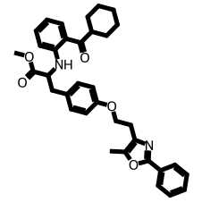 COC(=O)C(Cc1ccc(OCCc2nc(-c3ccccc3)oc2C)cc1)Nc1ccccc1C(=O)C1CCCCC1